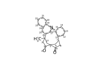 CC12CC(=O)C3(CC(CC3=O)c3ccccc3-c3nc4ccccc4cc31)C2